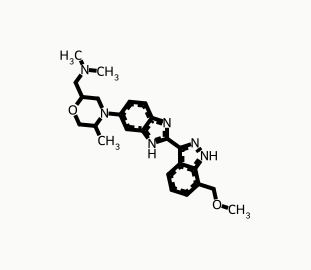 COCc1cccc2c(-c3nc4ccc(N5CC(CN(C)C)OCC5C)cc4[nH]3)n[nH]c12